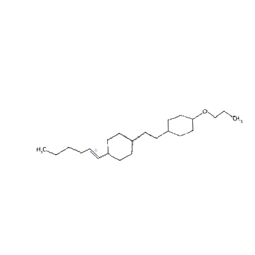 CCCC/C=C/C1CCC(CCC2CCC(OCCC)CC2)CC1